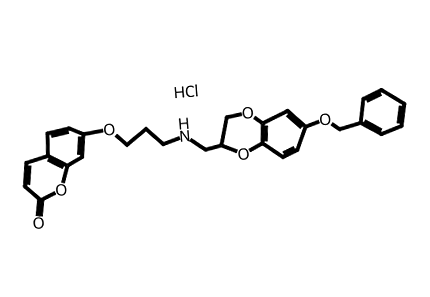 Cl.O=c1ccc2ccc(OCCCNCC3COc4cc(OCc5ccccc5)ccc4O3)cc2o1